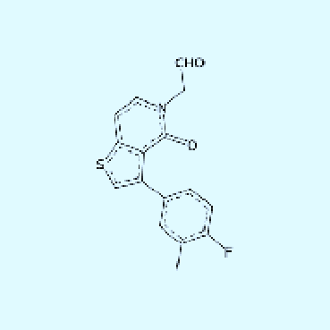 Cc1cc(-c2csc3ccn(CC=O)c(=O)c23)ccc1F